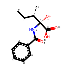 CC[C@H](C)[C@](O)(NC(=O)c1ccccc1)C(=O)O